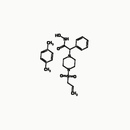 C=CCS(=O)(=O)N1CCN(C(C(=O)NO)c2ccccc2)CC1.Cc1ccc(C)cc1